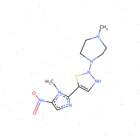 CN1CCN(N2NC=C(c3ncc([N+](=O)[O-])n3C)S2)CC1